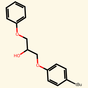 CC(C)(C)c1ccc(OCC(O)COc2ccccc2)cc1